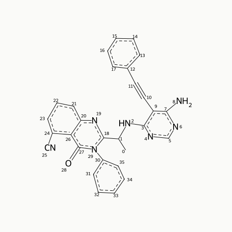 CC(Nc1ncnc(N)c1C#Cc1ccccc1)c1nc2cccc(C#N)c2c(=O)n1-c1ccccc1